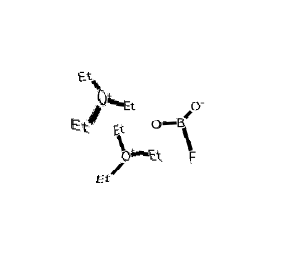 CC[O+](CC)CC.CC[O+](CC)CC.[O-]B([O-])F